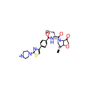 C#C[C@@H]1CN(C(=O)[C@H](CC(C)C)NC(=O)c2ccc(-c3csc(N4CCN(C)CC4)n3)cc2)C2C(=O)COC21